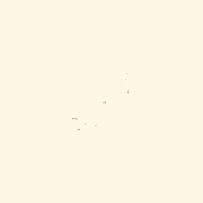 CCOC(OCC)C([SiH3])CCCNCCCC([SiH3])C(OCC)OCC